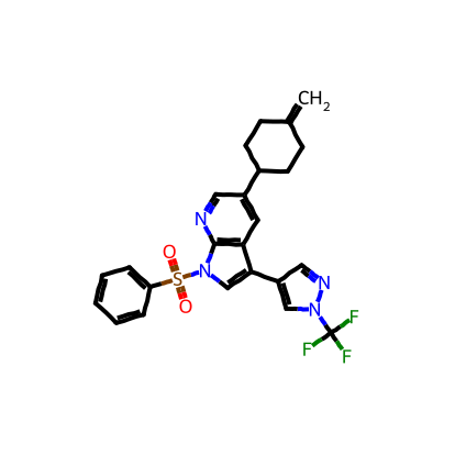 C=C1CCC(c2cnc3c(c2)c(-c2cnn(C(F)(F)F)c2)cn3S(=O)(=O)c2ccccc2)CC1